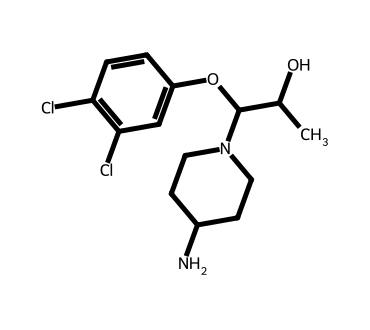 CC(O)C(Oc1ccc(Cl)c(Cl)c1)N1CCC(N)CC1